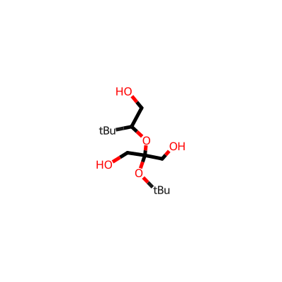 CC(C)(C)OC(CO)(CO)OC(CO)C(C)(C)C